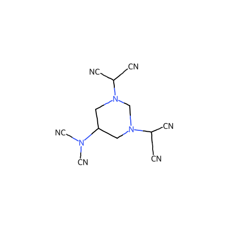 N#CC(C#N)N1CC(N(C#N)C#N)CN(C(C#N)C#N)C1